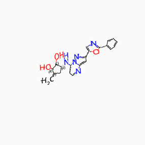 [CH2][C@@H]1C[C@@H](Nc2ccnc3cc(-c4cnc(-c5ccccc5)o4)nn23)[C@H](O)[C@@H]1O